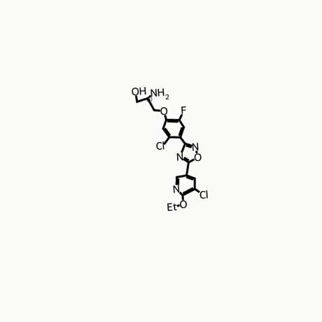 CCOc1ncc(-c2nc(-c3cc(F)c(OC[C@H](N)CO)cc3Cl)no2)cc1Cl